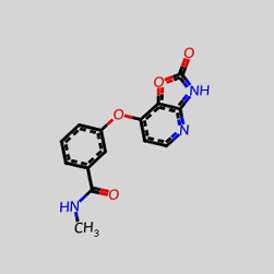 CNC(=O)c1cccc(Oc2ccnc3[nH]c(=O)oc23)c1